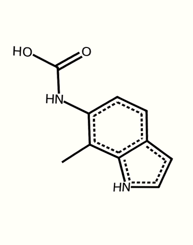 Cc1c(NC(=O)O)ccc2cc[nH]c12